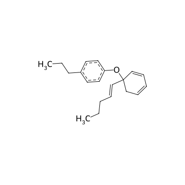 CCCC=CC1(Oc2ccc(CCC)cc2)C=CC=CC1